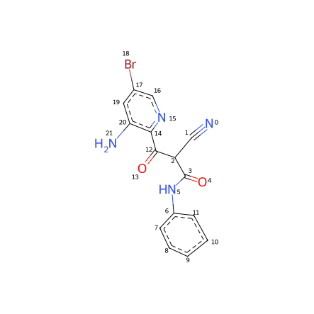 N#CC(C(=O)Nc1ccccc1)C(=O)c1ncc(Br)cc1N